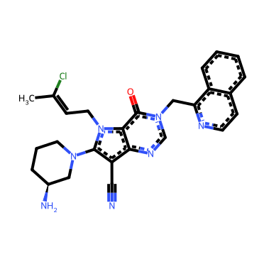 CC(Cl)=CCn1c(N2CCC[C@H](N)C2)c(C#N)c2ncn(Cc3nccc4ccccc34)c(=O)c21